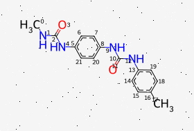 CNC(=O)Nc1ccc(NC(=O)Nc2ccc(C)cc2)cc1